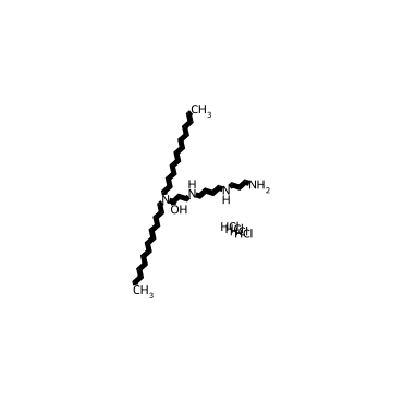 CCCCCCCCCCCCCCN(CCCCCCCCCCCCCC)C(O)CCNCCCCNCCCN.Cl.Cl.Cl.Cl